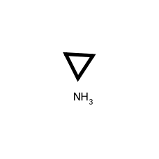 C1CC1.N